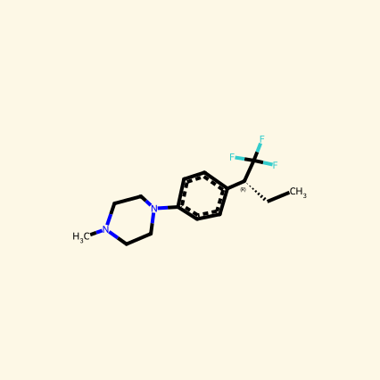 CC[C@H](c1ccc(N2CCN(C)CC2)cc1)C(F)(F)F